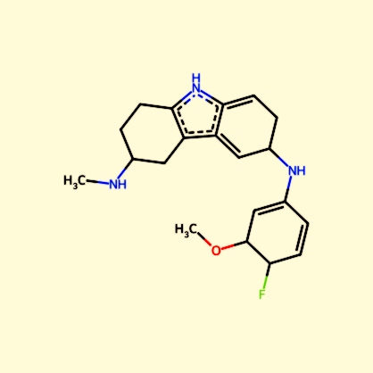 CNC1CCc2[nH]c3c(c2C1)=CC(NC1=CC(OC)C(F)C=C1)CC=3